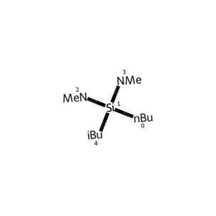 CCCC[Si](NC)(NC)C(C)CC